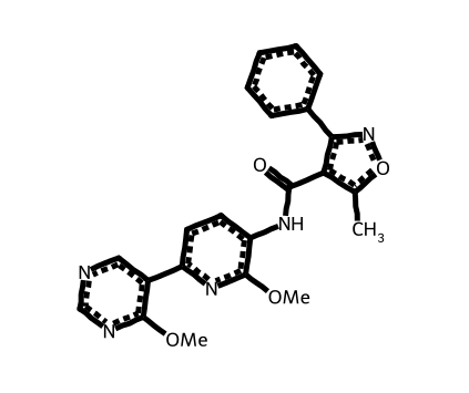 COc1nc(-c2cncnc2OC)ccc1NC(=O)c1c(-c2ccccc2)noc1C